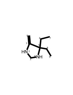 C=C1NCNC1(CC)CC